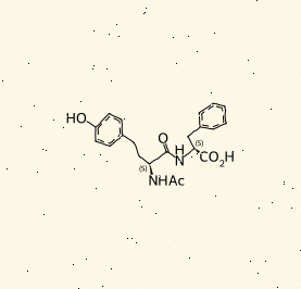 CC(=O)N[C@@H](CCc1ccc(O)cc1)C(=O)N[C@@H](Cc1ccccc1)C(=O)O